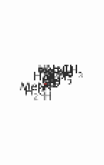 C=C[C@H](NC)C(=S)N[C@H]1CCS[C@H]2CC(C)(C)[C@@H](C(=O)/N=C/[C@H]3c4ccccc4C[C@H]3C(=O)N[C@H]3CC[C@H](NC(=O)[C@@H]4Cc5ccccc5[C@@H]4C)CC3)N2C1=O